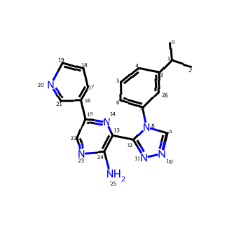 CC(C)c1cccc(-n2cnnc2-c2nc(-c3cccnc3)cnc2N)c1